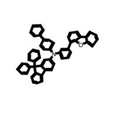 c1ccc(-c2ccc(N(c3cccc(-c4cccc5c4oc4ccccc45)c3)c3ccc4c(c3)C(c3ccccc3)(c3ccccc3)c3ccccc3-4)cc2)cc1